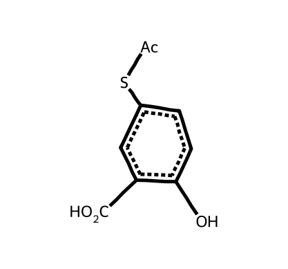 CC(=O)Sc1ccc(O)c(C(=O)O)c1